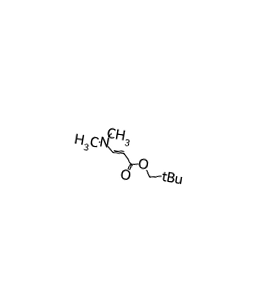 CN(C)C=CC(=O)OCC(C)(C)C